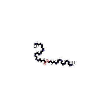 CC/C=C\C/C=C\C/C=C\C/C=C\C/C=C\C/C=C\CCCC(=O)OCCCC/C=C\C/C=C\C/C=C\C/C=C\C/C=C\CC